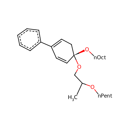 CCCCCCCCO[C@@]1(OCC(C)OCCCCC)C=CC(c2ccccc2)=CC1